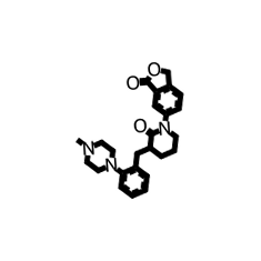 CN1CCN(c2ccccc2CC2CCCN(c3ccc4c(c3)C(=O)OC4)C2=O)CC1